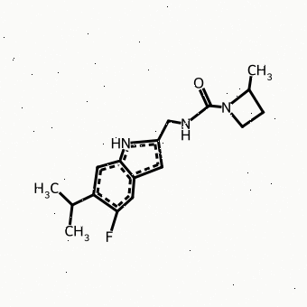 CC(C)c1cc2[nH]c(CNC(=O)N3CCC3C)cc2cc1F